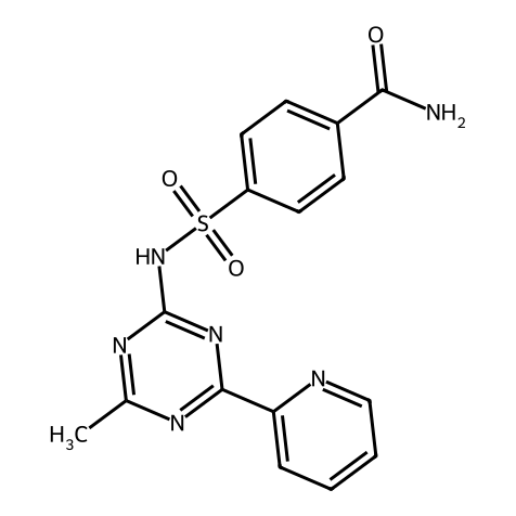 Cc1nc(NS(=O)(=O)c2ccc(C(N)=O)cc2)nc(-c2ccccn2)n1